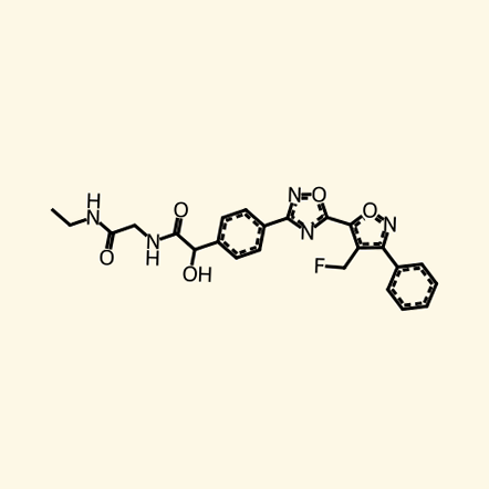 CCNC(=O)CNC(=O)C(O)c1ccc(-c2noc(-c3onc(-c4ccccc4)c3CF)n2)cc1